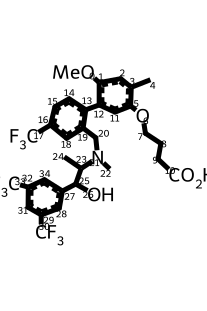 COc1cc(C)c(OCCCC(=O)O)cc1-c1ccc(C(F)(F)F)cc1CN(C)C(C)C(O)c1cc(C(F)(F)F)cc(C(F)(F)F)c1